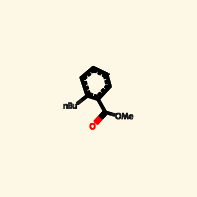 CCCCc1cc[c]cc1C(=O)OC